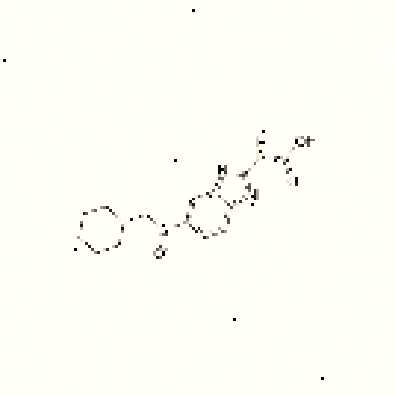 O=C(O)Nc1nc2cc([S+]([O-])CC3CCCCC3)ccc2[nH]1